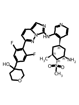 C[C@H]1C[C@@H](c2ccncc2Nc2ncc3ccc(-c4c(F)cc(C5(O)CCOCC5)cc4F)nn23)C[C@@H](N)[C@@H]1S(C)(=O)=O